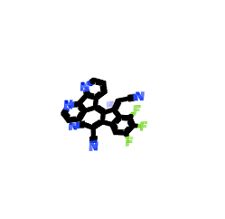 N#C/C=C1/C(=C2c3cccnc3-c3ncccc32)C(=C(C#N)C#N)c2cc(F)c(F)c(F)c21